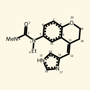 CCN(C(=O)NC)c1ccc2c(c1)/C(=C\c1c[nH]cn1)CCO2